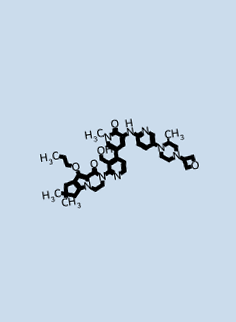 CCCOc1c2c(n3c1C(=O)N(c1nccc(-c4cc(Nc5ccc(N6CCN(C7COC7)C[C@@H]6C)cn5)c(=O)n(C)c4)c1CO)CC3)CC(C)(C)C2